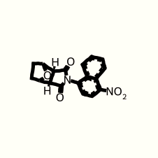 O=C1[C@@H]2C3CCC(O3)[C@@H]2C(=O)N1c1ccc([N+](=O)[O-])c2ccccc12